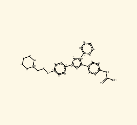 O=C(O)Nc1ccc(-c2cc(-c3ccc(OCCN4CCCCC4)cc3)nn2-c2ccccc2)cc1